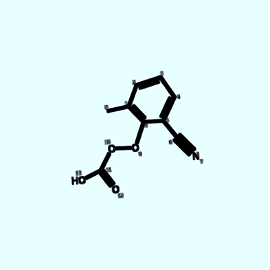 Cc1cccc(C#N)c1OOC(=O)O